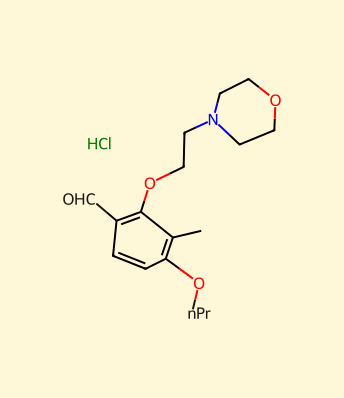 CCCOc1ccc(C=O)c(OCCN2CCOCC2)c1C.Cl